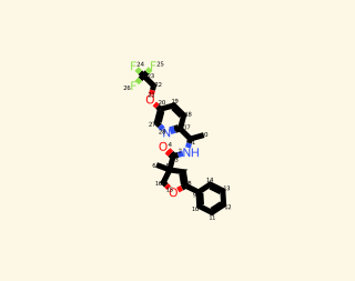 CC(NC(=O)C1(C)C=C(c2ccccc2)OC1)c1ccc(OCC(F)(F)F)cn1